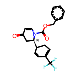 O=C1C=CN(C(=O)OCc2ccccc2)[C@@H](C2C=CC(C(F)(F)F)=CC2)C1